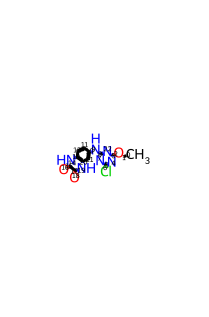 CCOc1nc(Cl)nc(Nc2ccc3[nH]c(=O)c(=O)[nH]c3c2)n1